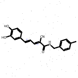 Cc1ccc(CNC(=O)/C(C#N)=C/C=C/c2ccc(O)c(O)c2)cc1